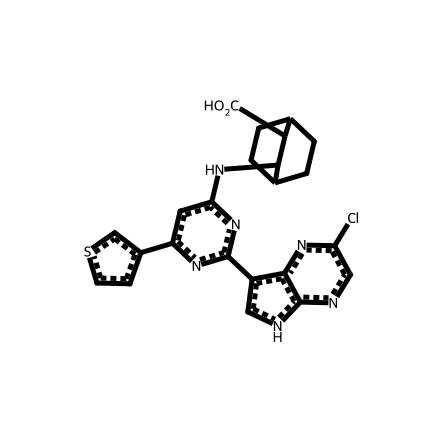 O=C(O)C1C2CCC(CC2)C1Nc1cc(-c2ccsc2)nc(-c2c[nH]c3ncc(Cl)nc23)n1